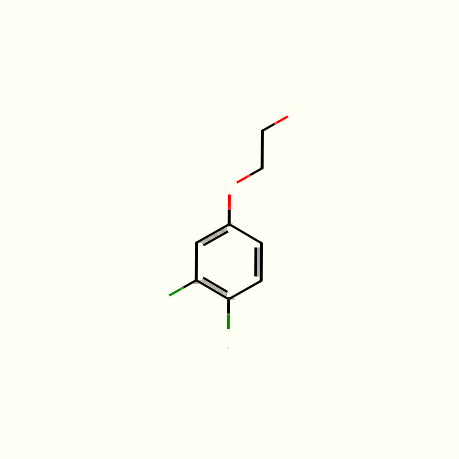 OCCOc1ccc(F)c(F)c1